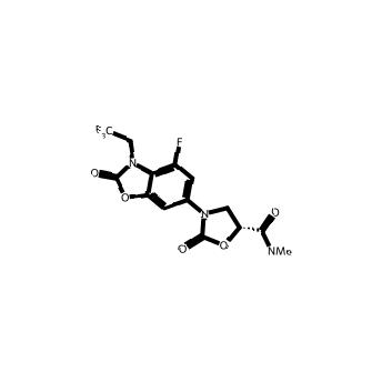 CNC(=O)[C@H]1CN(c2cc(F)c3c(c2)oc(=O)n3CC(F)(F)F)C(=O)O1